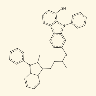 CC(CCC1C2C=CC=CC2N(c2ccccc2)C1C)Sc1ccc2c3cccc(S)c3n(-c3ccccc3)c2c1